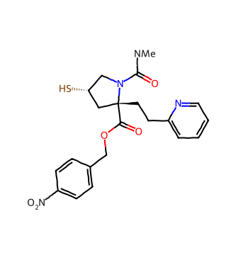 CNC(=O)N1C[C@@H](S)C[C@@]1(CCc1ccccn1)C(=O)OCc1ccc([N+](=O)[O-])cc1